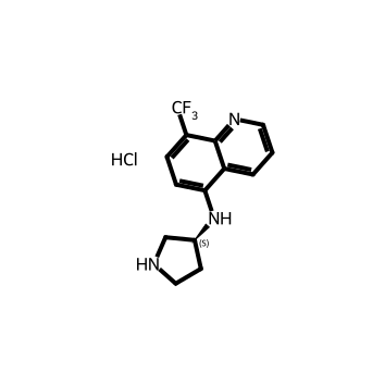 Cl.FC(F)(F)c1ccc(N[C@H]2CCNC2)c2cccnc12